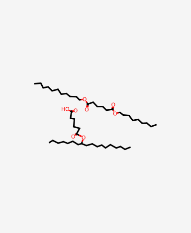 CCCCCCCCCCC(CCCCCCC)OC(=O)CCCCC(=O)O.CCCCCCCCCCCOC(=O)CCCCC(=O)OCCCCCCCCC